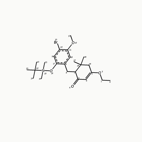 CCOC1=CC(=O)C(Cc2cc(OC)c(Br)cc2O[Si](C)(C)C(C)(C)C)C(C)(C)C1